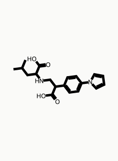 CC(C)CC(NCC(C(=O)O)c1ccc(-n2cccc2)cc1)C(=O)O